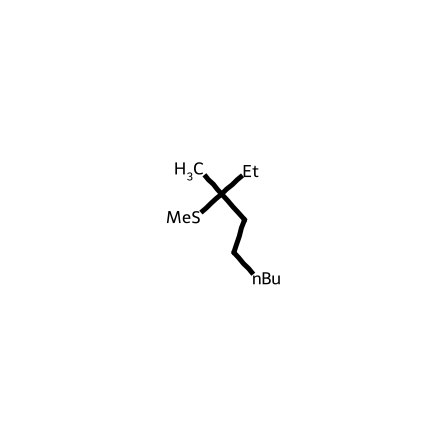 [CH2]CC(C)(CCCCCC)SC